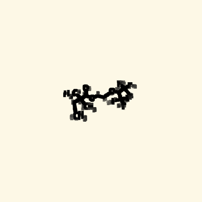 CCC(C)(C)C(=O)OCCOC(C(F)(F)F)C(F)(F)F